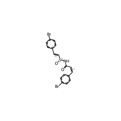 O=C(/C=C\c1ccc(Br)cc1)N[S+]([O-])/C=C/c1ccc(Br)cc1